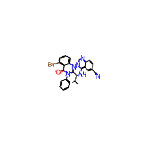 CC(C)C(Nc1ncnc2ccc(C#N)cc12)c1nc2cccc(Br)c2c(=O)n1-c1ccccc1